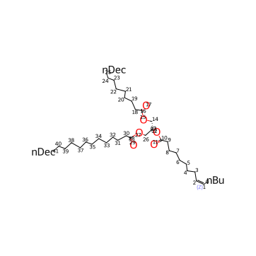 CCCC/C=C\CCCCCCCC(=O)O[C@@H](COC(=O)CCCCCCCCCCCCCCCCC)COC(=O)CCCCCCCCCCCCCCCCCCCCC